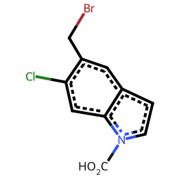 O=C(O)n1ccc2cc(CBr)c(Cl)cc21